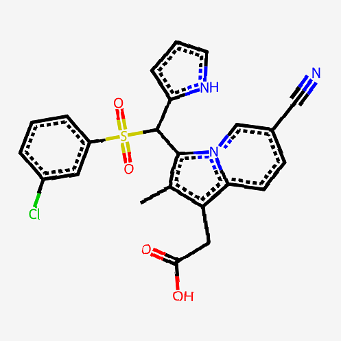 Cc1c(CC(=O)O)c2ccc(C#N)cn2c1C(c1ccc[nH]1)S(=O)(=O)c1cccc(Cl)c1